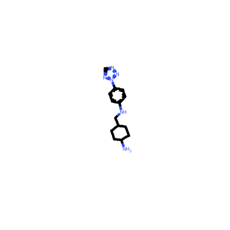 NC1CCC(CNc2ccc(-n3ncnn3)cc2)CC1